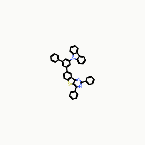 c1ccc(-c2cc(-c3ccc4sc5c(-c6ccccc6)nc(-c6ccccc6)nc5c4c3)cc(-n3c4ccccc4c4ccccc43)c2)cc1